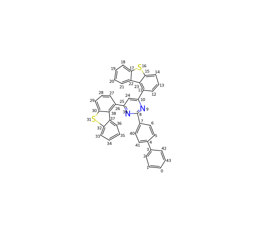 c1ccc(-c2ccc(-c3nc(-c4cccc5sc6ccccc6c45)cc(-c4cccc5sc6ccccc6c45)n3)cc2)cc1